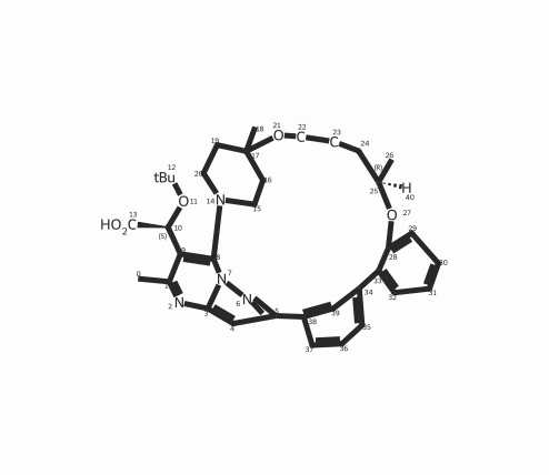 Cc1nc2cc3nn2c(c1[C@H](OC(C)(C)C)C(=O)O)N1CCC(C)(CC1)OCCC[C@@H](C)Oc1ccccc1-c1cccc-3c1